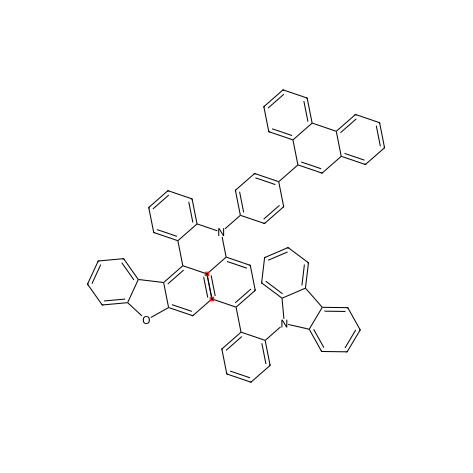 c1ccc(N(c2ccc(-c3ccccc3-n3c4ccccc4c4ccccc43)cc2)c2ccc(-c3cc4ccccc4c4ccccc34)cc2)c(-c2cccc3oc4ccccc4c23)c1